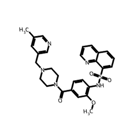 COc1cc(C(=O)N2CCN(Cc3cncc(C)c3)CC2)ccc1NS(=O)(=O)c1cccc2cccnc12